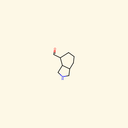 O=CC1CCCC2CNCC12